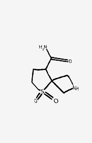 NC(=O)C1CCS(=O)(=O)C12CNC2